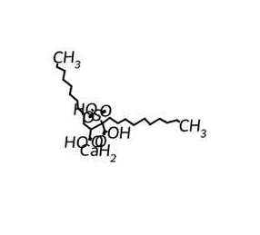 CCCCCCCCCCC(C(=O)O)C(CCCCCCCCCC)(C(=O)O)S(=O)(=O)O.[CaH2]